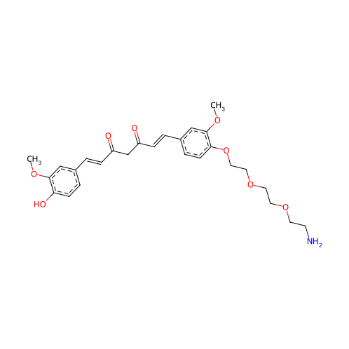 COc1cc(/C=C/C(=O)CC(=O)/C=C/c2ccc(OCCOCCOCCN)c(OC)c2)ccc1O